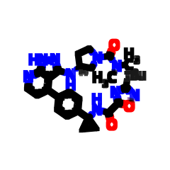 CN(C)C(=O)N1CC[C@@H](Nc2n[nH]c3nccc(-c4ccc(C5(NC(=O)c6nc(C(C)(C)C)no6)CC5)cc4)c23)C1